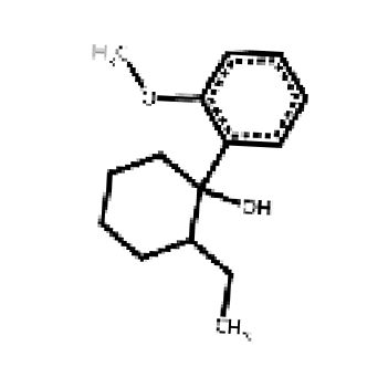 CCC1CCCCC1(O)c1ccccc1OC